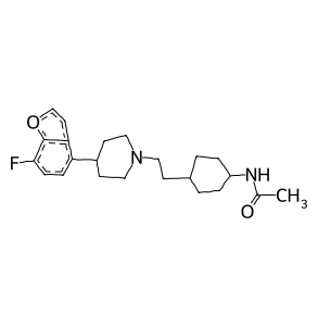 CC(=O)NC1CCC(CCN2CCC(c3ccc(F)c4occc34)CC2)CC1